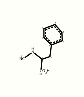 N#CNC(Cc1ccccc1)C(=O)O